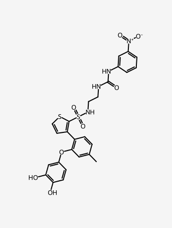 Cc1ccc(-c2ccsc2S(=O)(=O)NCCNC(=O)Nc2cccc([N+](=O)[O-])c2)c(Oc2ccc(O)c(O)c2)c1